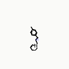 Cc1ccc(/C=C/CN2CCCCC2)cc1